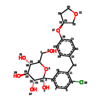 OCC1O[C@@](O)(c2ccc(Cl)c(Cc3ccc(O[C@H]4CCOC4)cc3)c2)[C@H](O)[C@@H](O)[C@@H]1O